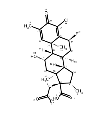 CCC(=O)O[C@]1(C(O)=S)[C@@H](C)C[C@H]2[C@@H]3C[C@H](F)C4=C(Cl)C(=O)C(C)=C[C@]4(C)[C@H]3[C@@H](O)C[C@@]21C